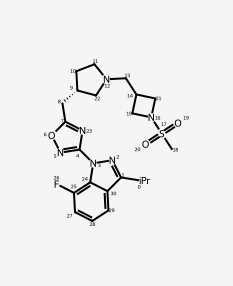 CC(C)c1nn(-c2noc(C[C@@H]3CCN(CC4CN(S(C)(=O)=O)C4)C3)n2)c2c(F)cccc12